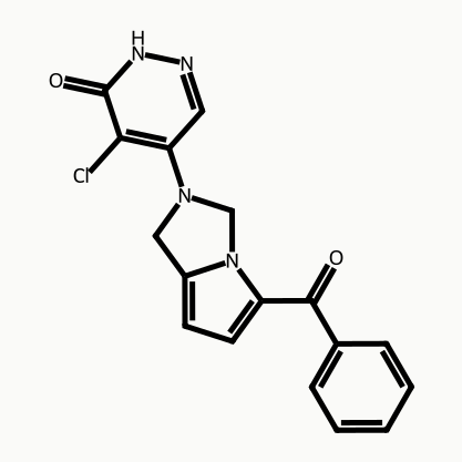 O=C(c1ccccc1)c1ccc2n1CN(c1cn[nH]c(=O)c1Cl)C2